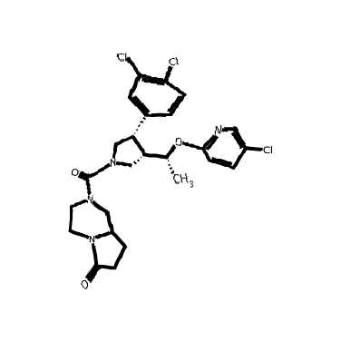 C[C@@H](Oc1ccc(Cl)cn1)[C@@H]1CN(C(=O)N2CCN3C(=O)CCC3C2)C[C@@H]1c1ccc(Cl)c(Cl)c1